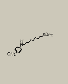 CCCCCCCCCCCCCCCCCCCNc1ccc(C=O)cc1